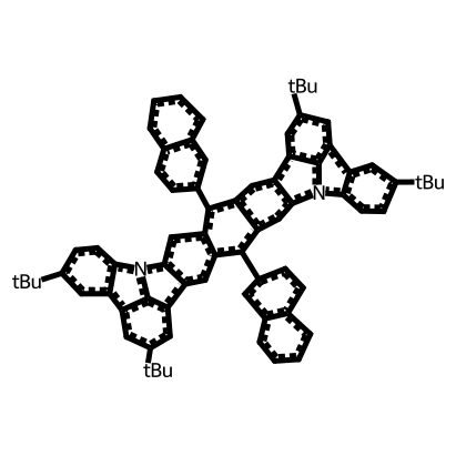 CC(C)(C)c1ccc2c(c1)c1cc(C(C)(C)C)cc3c4cc5c(-c6ccc7ccccc7c6)c6cc7c(cc6c(-c6ccc8ccccc8c6)c5cc4n2c13)c1cc(C(C)(C)C)cc2c3cc(C(C)(C)C)ccc3n7c21